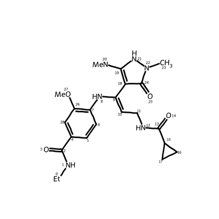 CCNC(=O)c1ccc(N/C(=C/CNC(=O)C2CC2)c2c(NC)[nH]n(C)c2=O)c(OC)c1